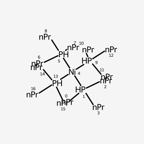 CCC[PH](CCC)(CCC)[Ni]([PH](CCC)(CCC)CCC)([PH](CCC)(CCC)CCC)[PH](CCC)(CCC)CCC